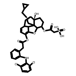 O=C(Cc1ccccc1Nc1c(Cl)cccc1Cl)OC1=C2OC3C(OC(=O)CP(=O)(O)O)CC[C@@]4(O)C5CC(C=C1)C2C34CCN5CC1CC1